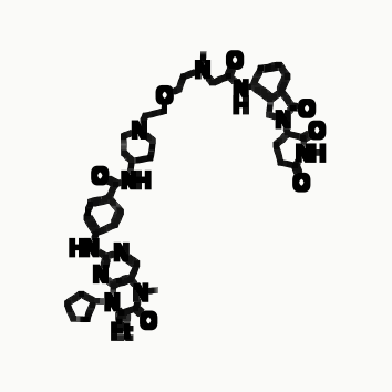 CC[C@@H]1C(=O)N(C)c2cnc(Nc3ccc(C(=O)NC4CCN(CCOCCN(C)CC(=O)Nc5cccc6c5CN(C5CCC(=O)NC5=O)C6=O)CC4)cc3)nc2N1C1CCCC1